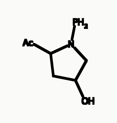 CC(=O)C1CC(O)CN1P